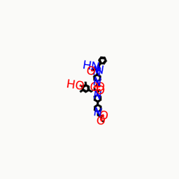 COC(=O)CN1CCC(C2CCN(C(=O)[C@@H](Cc3cc(C)c(O)c(C)c3)OC(=O)N3CCC(n4nc(-c5ccccc5)[nH]c4=O)CC3)CC2)CC1